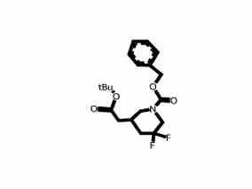 CC(C)(C)OC(=O)CC1CN(C(=O)OCc2ccccc2)CC(F)(F)C1